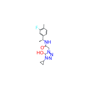 Cc1ccc([C@H](C)NC(=O)CN2N=NN(C3CC3)C2O)cc1F